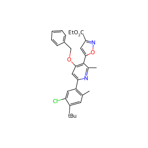 CCOC(=O)c1cc(-c2c(OCc3ccccc3)cc(-c3cc(Cl)c(C(C)(C)C)cc3C)nc2C)on1